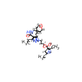 CCc1nn(CCCOC(=O)C2=C(C)N=C(C)C2)c2c1C(=O)NCC1(CCOCC1)C2